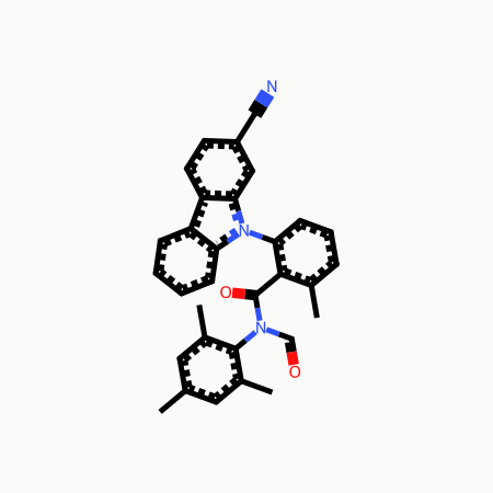 Cc1cc(C)c(N(C=O)C(=O)c2c(C)cccc2-n2c3ccccc3c3ccc(C#N)cc32)c(C)c1